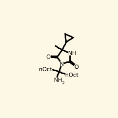 CCCCCCCCC(N)(CCCCCCCC)N1C(=O)NC(C)(C2CC2)C1=O